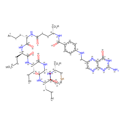 CC(=O)CC[C@H](NC(=O)CC[C@@H](NC(=O)c1ccc(NCc2cnc3nc(N)[nH]c(=O)c3n2)cc1)C(=O)O)C(=O)N[C@H](CCC(=O)O)C(=O)N[C@@H](CCC(C)=O)C(=O)N[C@H](CCC(=O)O)C(=O)N[C@@H](CCC(C)=O)C(=O)N[C@@H](CS)C(=O)O